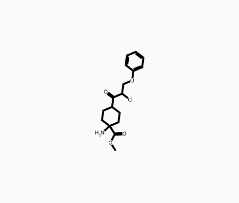 COC(=O)C1(N)CCC(C(=O)C(Cl)COc2ccccc2)CC1